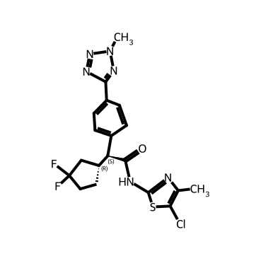 Cc1nc(NC(=O)[C@H](c2ccc(-c3nnn(C)n3)cc2)[C@@H]2CCC(F)(F)C2)sc1Cl